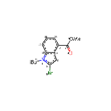 CCC(C)n1c(Br)cc2c(C(=O)OC)cccc21